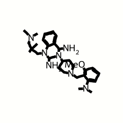 COc1cccc(N(C)C)c1CN1CCC(N2C(N)c3ccccc3N(CC(C)(C)CN(C)C)C2N)CC1